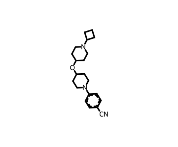 N#Cc1ccc(N2CCC(OC3CCN(C4CCC4)CC3)CC2)cc1